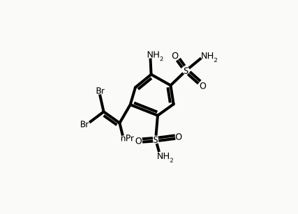 CCCC(=C(Br)Br)c1cc(N)c(S(N)(=O)=O)cc1S(N)(=O)=O